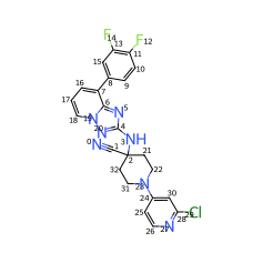 N#CC1(Nc2nc3c(-c4ccc(F)c(F)c4)cccn3n2)CCN(c2ccnc(Cl)c2)CC1